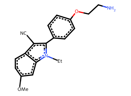 CCn1c(-c2ccc(OCCN)cc2)c(C#N)c2ccc(OC)cc21